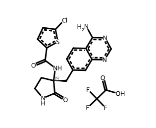 Nc1ncnc2cc(C[C@]3(NC(=O)c4ccc(Cl)s4)CCNC3=O)ccc12.O=C(O)C(F)(F)F